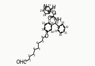 O=CCCCCCCCCOc1cccc(C(NC(=O)O[C@H]2CN3CCC2CC3)c2ccccc2)c1